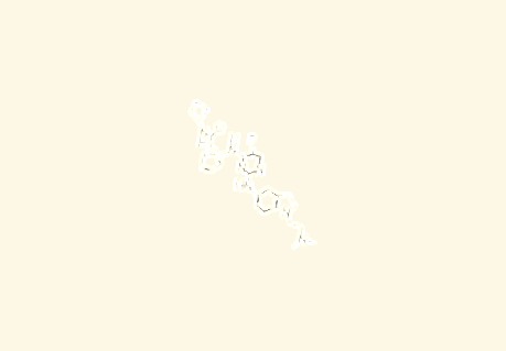 CN(C)CCN1CCc2cc(Nc3ncc(F)c(NC4C5C=CC(C5)C4C(=O)NC4CCC4)n3)ccc21